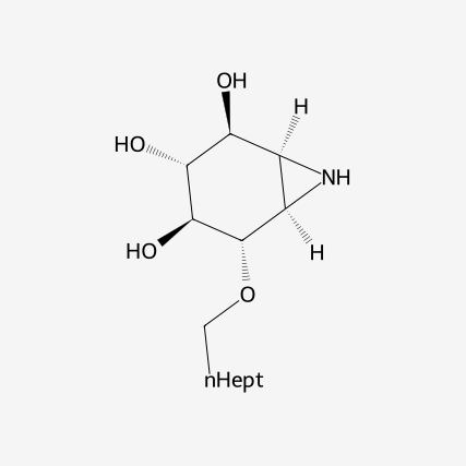 CCCCCCCCO[C@@H]1[C@@H](O)[C@H](O)[C@@H](O)[C@H]2N[C@H]21